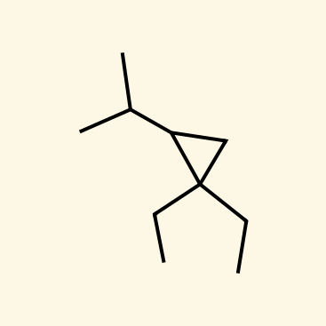 CCC1(CC)CC1C(C)C